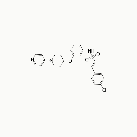 O=S(=O)(C=Cc1ccc(Cl)cc1)Nc1cccc(OC2CCN(c3ccncc3)CC2)c1